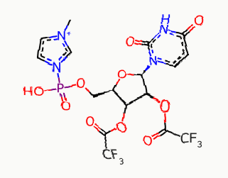 C[n+]1ccn(P(=O)(O)OC[C@H]2O[C@@H](n3ccc(=O)[nH]c3=O)C(OC(=O)C(F)(F)F)C2OC(=O)C(F)(F)F)c1